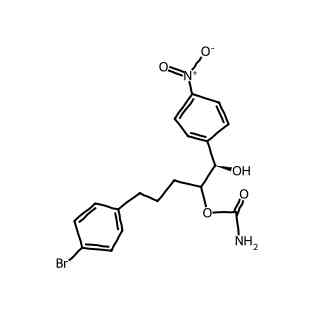 NC(=O)OC(CCCc1ccc(Br)cc1)[C@H](O)c1ccc([N+](=O)[O-])cc1